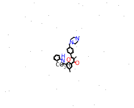 Cc1cc([C@@H](C)Nc2ccccc2C(=O)O)c2oc(-c3ccc(CN4CCN(C)CC4)cc3)c(C)c(=O)c2c1